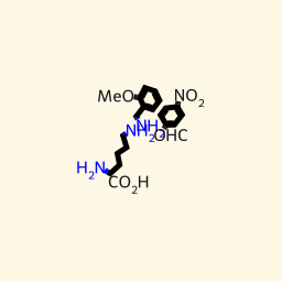 COc1ccccc1CN.NCCCC[C@H](N)C(=O)O.O=Cc1ccc([N+](=O)[O-])cc1